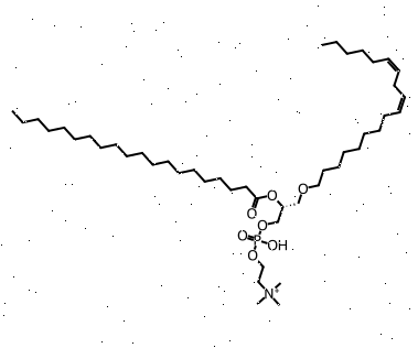 CCCCC/C=C\C/C=C\CCCCCCCCOC[C@H](COP(=O)(O)OCC[N+](C)(C)C)OC(=O)CCCCCCCCCCCCCCCCCCC